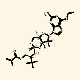 CCOc1nc(N)nc2c1ncn2[C@@H]1O[C@@H]2CO[P@](=O)(N[C@H](COC(=O)C(C)C)C(C)(C)C)O[C@H]2[C@@]1(C)Cl